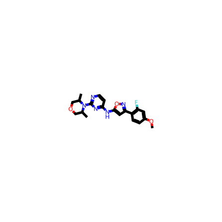 COc1ccc(-c2cc(Nc3ccnc(N4C(C)COCC4C)n3)on2)c(F)c1